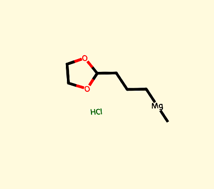 Cl.[CH3][Mg][CH2]CCC1OCCO1